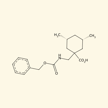 C[C@@H]1C[C@H](C)CC(CNC(=O)OCc2ccccc2)(C(=O)O)C1